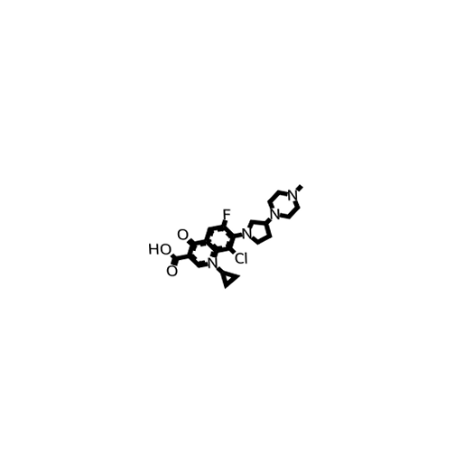 CN1CCN(C2CCN(c3c(F)cc4c(=O)c(C(=O)O)cn(C5CC5)c4c3Cl)C2)CC1